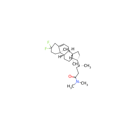 C[C@H](CCC(=O)N(C)C)[C@H]1CC[C@H]2[C@@H]3CC=C4CC(F)(F)CC[C@]4(C)[C@H]3CC[C@]12C